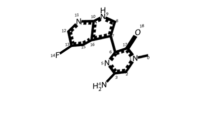 Cn1cc(N)nc(-c2c[nH]c3ncc(F)cc23)c1=O